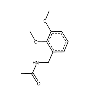 COc1cccc(CNC(C)=O)c1OC